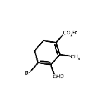 CCOC(=O)C1=C(C)C(C=O)=C(Br)CC1